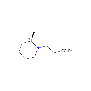 CCOC(=O)CCN1CCCC[C@H]1C